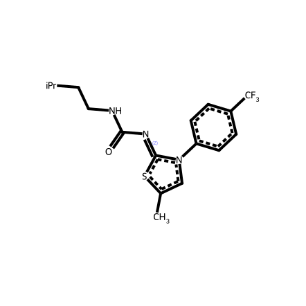 Cc1cn(-c2ccc(C(F)(F)F)cc2)/c(=N/C(=O)NCCC(C)C)s1